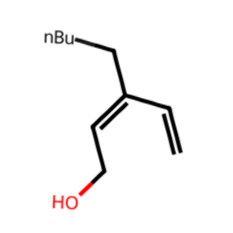 C=CC(=CCO)CCCCC